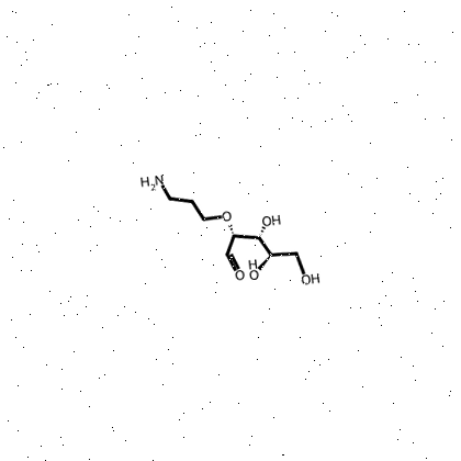 NCCCO[C@@H](C=O)[C@H](O)[C@H](O)CO